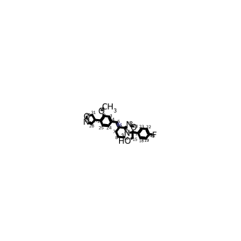 COc1cc(/C=C2\CCCN3C2=NOC3(CO)c2ccc(F)cc2)ccc1C1C=NOC1